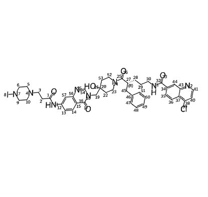 O=C(CCN1CCN(I)CC1)Nc1ccc2c(=O)n(CC3(O)CCN(C(=O)[C@H](CCCNC(=O)c4ccc5c(Cl)ccnc5c4)Cc4ccccc4)CC3)cnc2c1